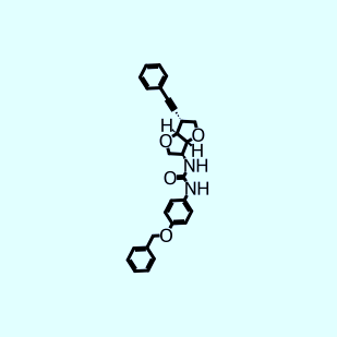 O=C(Nc1ccc(OCc2ccccc2)cc1)N[C@H]1CO[C@@H]2[C@@H]1OC[C@H]2C#Cc1ccccc1